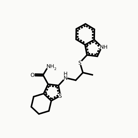 CC(CNc1sc2c(c1C(N)=O)CCCC2)Sc1c[nH]c2ccccc12